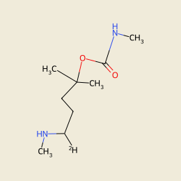 [2H]C(CCC(C)(C)OC(=O)NC)NC